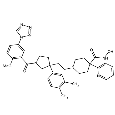 COc1ccc(-n2cnnn2)cc1C(=O)N1CCC(CCN2CCC(C(=O)NO)(c3ccccn3)CC2)(c2ccc(C)c(C)c2)C1